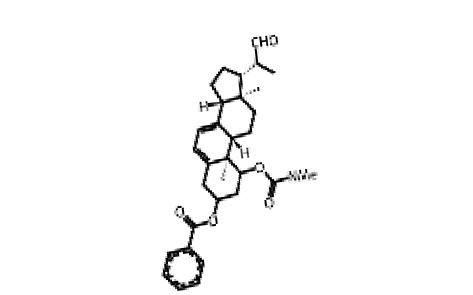 CNC(=O)OC1CC(OC(=O)c2ccccc2)CC2=CC=C3[C@@H]4CC[C@H](C(C)C=O)[C@@]4(C)CC[C@@H]3[C@]21C